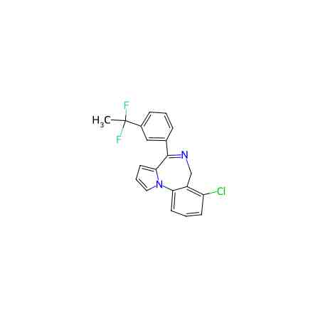 CC(F)(F)c1cccc(C2=NCc3c(Cl)cccc3-n3cccc32)c1